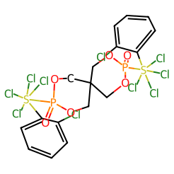 O=P1(S(Cl)(Cl)(Cl)(Cl)c2ccccc2Cl)OCC2(CO1)COP(=O)(S(Cl)(Cl)(Cl)(Cl)c1ccccc1Cl)OC2